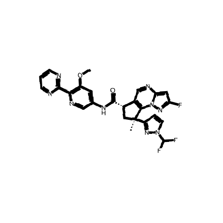 COc1cc(NC(=O)[C@H]2C[C@](C)(c3ccn(C(F)F)n3)c3c2cnc2cc(F)nn32)cnc1-c1ncccn1